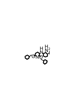 Nc1c(I)cccc1Nc1ccc(OCc2ccccc2)nc1OCc1ccccc1